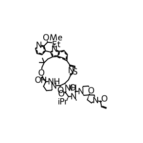 C=CC(=O)N1CC[C@@]2(C1)CN(C(=O)N(C)[C@H](C(=O)N[C@H]1Cc3nc(cs3)-c3ccc4c(c3)c(c(-c3cccnc3[C@H](C)OC)n4CC)CC(C)(C)COC(=O)[C@@H]3CCCN(N3)C1=O)C(C)C)CCO2